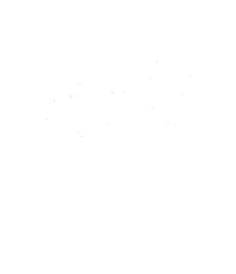 C1CC2OC2C1.C=C(c1ccccc1OC)c1nc2ccccn2c(=O)c1-c1ccc2cccnc2c1